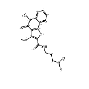 CCCCn1c(=O)c2c(OC)c(C(=O)NCCCN(CC)CC)sc2c2ccccc21